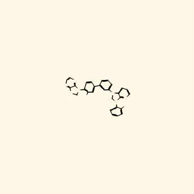 Cc1ccccc1N1c2ncccc2N(c2cccc(-c3ccc(N4c5nccnc5N(C)[C@@H]4C)c(C)c3)c2)[C@@H]1C